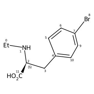 CCN[C@@H](Cc1ccc(Br)cc1)C(=O)O